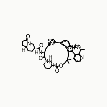 CCn1c(-c2cccnc2[C@H](C)OC)c2c3cc(ccc31)-c1csc(n1)C[C@H](NC(=O)[C@H]1CC[C@@H]3CCC(=O)N3C1)C(=O)N1CCC[C@H](N1)C(=O)OCC(C)(C)C2